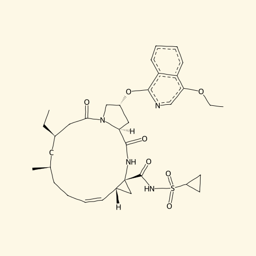 CCOc1cnc(O[C@@H]2C[C@H]3C(=O)N[C@]4(C(=O)NS(=O)(=O)C5CC5)C[C@@H]4/C=C\CC[C@@H](C)C[C@@H](CC)CC(=O)N3C2)c2ccccc12